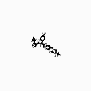 O=C(NC(c1cn2ncc(CN3C[C@@H](C(F)(F)F)NC3=O)cc2n1)C1CCC(F)(F)CC1)c1conc1C1(F)CC1